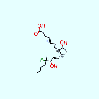 CCCCC(C)(F)C(O)C=C[C@H]1CCC(O)[C@@H]1CC/C=C/CCC(=O)O